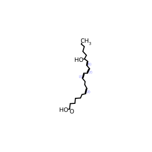 CCCCCC(O)/C=C/C=C\C=C/CC/C=C\CCCCCC(=O)O